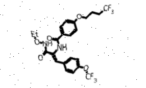 CCONC(=O)C(=Cc1ccc(OC(F)(F)F)cc1)NC(=O)c1ccc(OCCCC(F)(F)F)cc1